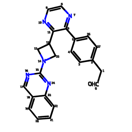 O=CCc1ccc(-c2nccnc2C2CN(c3ncc4ccccc4n3)C2)cc1